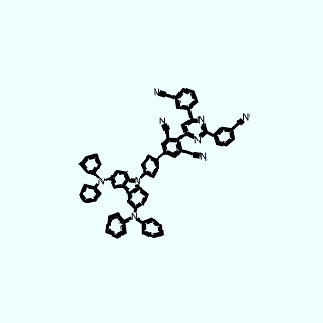 N#Cc1cccc(-c2cc(-c3c(C#N)cc(-c4ccc(-n5c6ccc(N(c7ccccc7)c7ccccc7)cc6c6cc(N(c7ccccc7)c7ccccc7)ccc65)cc4)cc3C#N)nc(-c3cccc(C#N)c3)n2)c1